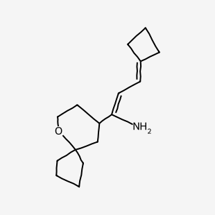 N/C(=C\C=C1CCC1)C1CCOC2(CCCC2)C1